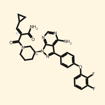 NC(=O)/C(=C\C1CC1)C(=O)N1CCC[C@H](n2nc(-c3ccc(Oc4cccc(F)c4F)cc3)c3c(N)ncnc32)C1